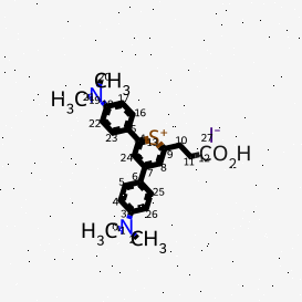 CN(C)c1ccc(-c2cc(CCC(=O)O)[s+]c(-c3ccc(N(C)C)cc3)c2)cc1.[I-]